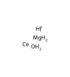 O.[Ce].[Hf].[MgH2]